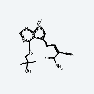 CC(C)(O)COc1ncnc2[nH]cc(CC=C(C#N)C(N)=O)c12